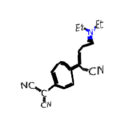 CC[N+](=CC=C(C#N)c1ccc([C-](C#N)C#N)cc1)CC